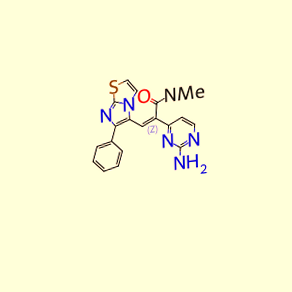 CNC(=O)/C(=C\c1c(-c2ccccc2)nc2sccn12)c1ccnc(N)n1